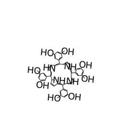 Oc1cc(O)cc(/C2=C3\C=CC(N3)/C(c3cc(O)cc(O)c3)=c3/cc/c([nH]3)=C(\c3cc(O)cc(O)c3)C3C=C/C(=C(\c4cc(O)cc(O)c4)c4ccc2[nH]4)N3)c1